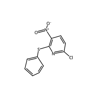 O=[N+]([O-])c1ccc(Cl)nc1Sc1ccccc1